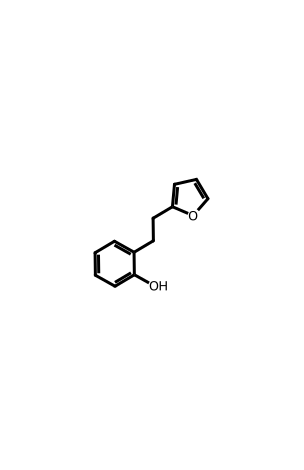 Oc1ccccc1CCc1ccco1